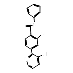 Nc1cc(-c2ncccc2Cl)ccc1C(=O)Nc1ccccc1